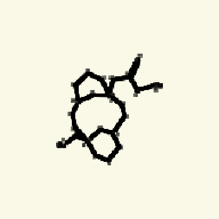 CC(C)(C)C[N+]12CCCN(CC[N+]3(CC(=O)OC(C)(C)C)CCCN(CC1)C3)C2